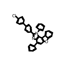 Clc1ccc(-c2ccc(-c3nc4c(-c5ccccc5)cc5oc6ccccc6c5c4n3-c3ccccc3)cc2)cc1